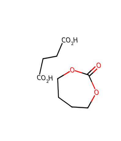 O=C(O)CCC(=O)O.O=C1OCCCCO1